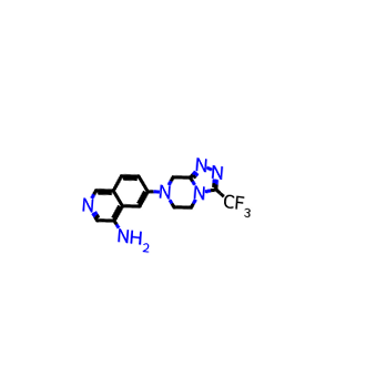 Nc1cncc2ccc(N3CCn4c(nnc4C(F)(F)F)C3)cc12